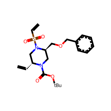 C=C[C@@H]1CN(S(=O)(=O)C=C)[C@@H](COCc2ccccc2)CN1C(=O)OC(C)(C)C